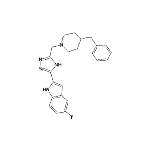 Fc1ccc2[nH]c(-c3nnc(CN4CCC(Cc5ccccc5)CC4)[nH]3)cc2c1